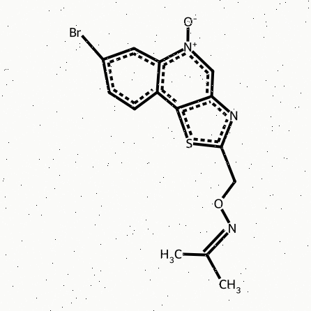 CC(C)=NOCc1nc2c[n+]([O-])c3cc(Br)ccc3c2s1